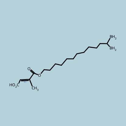 BC(B)CCCCCCCCCCCOC(=O)/C(C)=C/C(=O)O